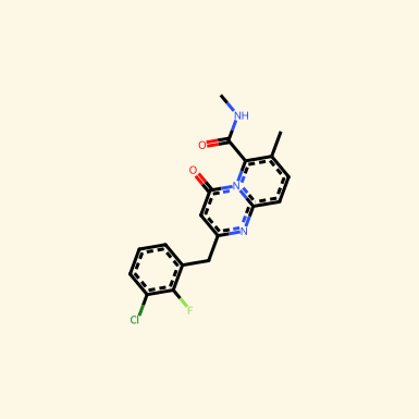 CNC(=O)c1c(C)ccc2nc(Cc3cccc(Cl)c3F)cc(=O)n12